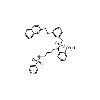 O=C(O)c1ccccc1N(CCCCNS(=O)(=O)c1ccccc1)S(=O)(=O)Cc1cccc(CCc2ccc3ccccc3n2)c1